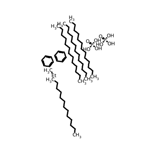 CCC.CCCCCCCCCCCCC.CCCCCCCCCCCCC.CCCCCCCCCCCCC.CCCCCCCCCCCCC.O=P(O)(O)O.O=P(O)(O)O.c1ccccc1.c1ccccc1